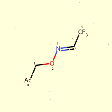 CC(=O)CO/N=C/C(F)(F)F